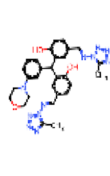 Cc1nnnn1N=Cc1ccc(O)c(C(c2cccc(N3CCOCC3)c2)c2cc(C=Nn3nnnc3C)ccc2O)c1